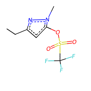 CCc1cc(OS(=O)(=O)C(F)(F)F)n(C)n1